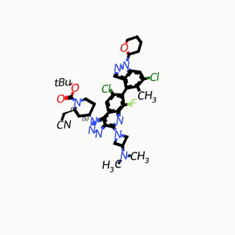 Cc1c(Cl)cc2c(cnn2C2CCCCO2)c1-c1c(Cl)cc2c(nc(N3CC(N(C)C)C3)c3nnn([C@H]4CCN(C(=O)OC(C)(C)C)[C@H](CC#N)C4)c32)c1F